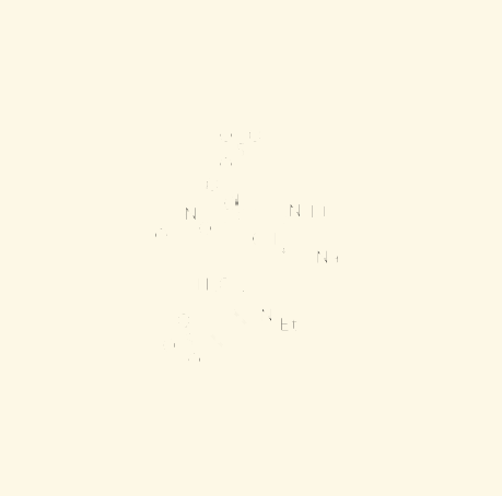 CCN1/C(=C/C=C/C2=[N+](CC)c3ccc(S(=O)(=O)[O-])cc3C2(C)C)C(C)(CCCC(=O)ON2C(=O)CCC2=O)c2cc(S(=O)(=O)[O-])ccc21.[Na+]